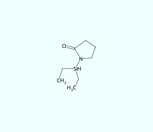 CC[SiH](CC)N1CCCC1=O